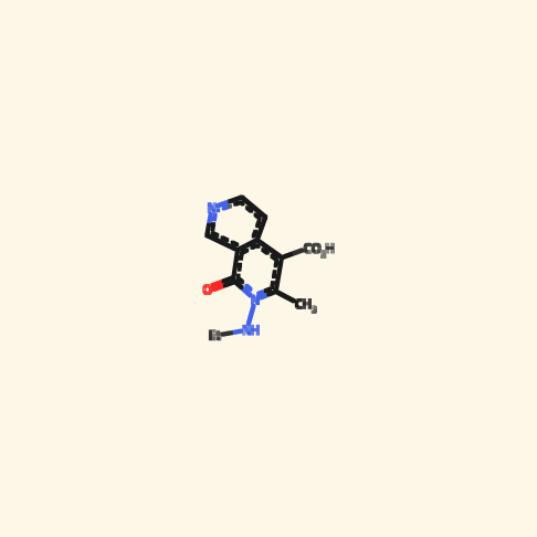 CCNn1c(C)c(C(=O)O)c2ccncc2c1=O